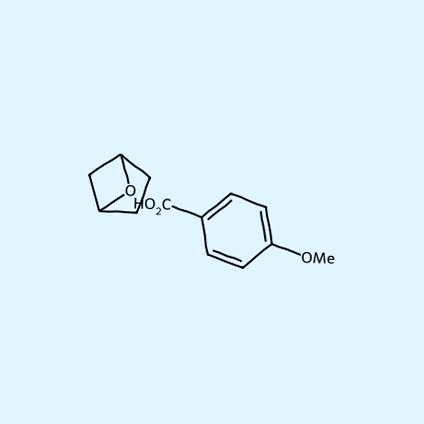 C1CC2CC1O2.COc1ccc(C(=O)O)cc1